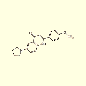 COc1ccc(-c2cc(=O)c3cc(N4CCCC4)ccc3[nH]2)cc1